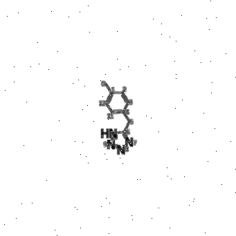 Cc1ccc(Cc2nnn[nH]2)cc1